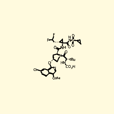 COc1cnc(O[C@@H]2C[C@@H](C(=O)N[C@]3(C(=O)NS(=O)(=O)C4CC4)C[C@H]3CC(F)F)N(C(=O)[C@@H](NC(=O)O)C(C)(C)C)C2)c2cc(Cl)ccc12